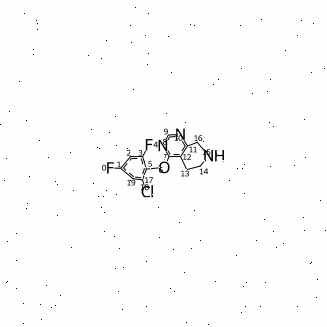 Fc1cc(F)c(Oc2ncnc3c2CCNC3)c(Cl)c1